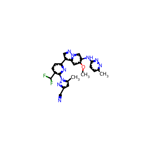 COc1cc2c(-c3ccc(C(F)F)c(-n4nc(C#N)cc4C)n3)cnn2cc1Nc1ccc(C)nn1